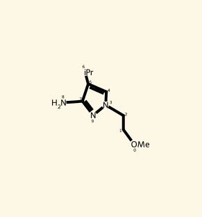 COCCn1cc(C(C)C)c(N)n1